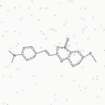 COc1ccc2oc(C=Cc3ccc(N(C)C)cc3)cc(=O)c2c1